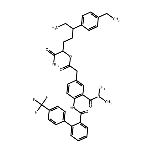 CCc1ccc(C(CC)CCC(OC(=O)Cc2ccc(NC(=O)c3ccccc3-c3ccc(C(F)(F)F)cc3)c(C(=O)N(C)C)c2)C(N)=O)cc1